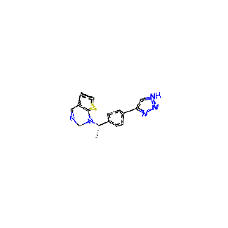 C[C@@H](c1ccc(-c2c[nH]nn2)cc1)N1CN=Cc2ccsc21